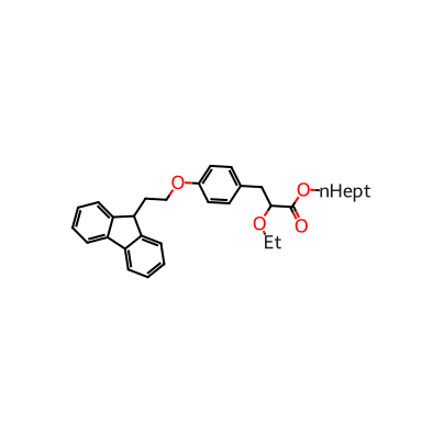 CCCCCCCOC(=O)C(Cc1ccc(OCCC2c3ccccc3-c3ccccc32)cc1)OCC